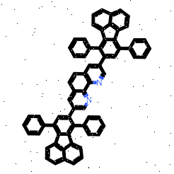 c1ccc(-c2cc(-c3cnc4c(ccc5cc(-c6cc(-c7ccccc7)c7c(c6-c6ccccc6)-c6cccc8cccc-7c68)cnc54)c3)c(-c3ccccc3)c3c2-c2cccc4cccc-3c24)cc1